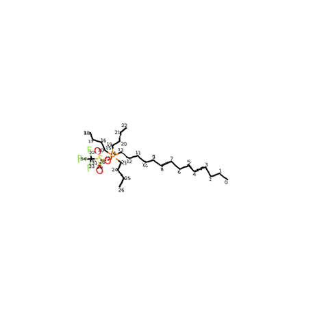 CCCCCCCCCCCCCCP(CCCC)(CCCC)(CCCC)OS(=O)(=O)C(F)(F)F